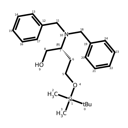 CC(C)(C)[Si](C)(C)OCC[C@H](CO)N(Cc1ccccc1)Cc1ccccc1